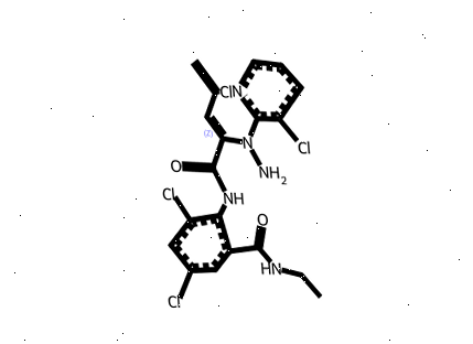 C=C(Cl)/C=C(/C(=O)Nc1c(Cl)cc(Cl)cc1C(=O)NCC)N(N)c1ncccc1Cl